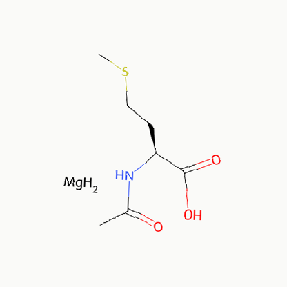 CSCC[C@H](NC(C)=O)C(=O)O.[MgH2]